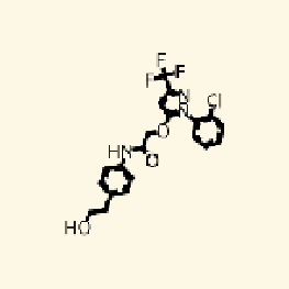 O=C(COc1cc(C(F)(F)F)nn1-c1ccccc1Cl)Nc1ccc(CCO)cc1